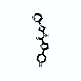 O=C(NC1CN(c2cccnn2)C1)c1ccc(C2CCNCC2)s1